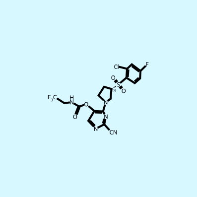 N#Cc1ncc(OC(=O)NCC(F)(F)F)c(N2CC[C@H](S(=O)(=O)c3ccc(F)cc3Cl)C2)n1